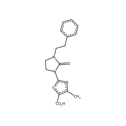 Cc1nc(N2CCN(CCc3ccccc3)C2=O)sc1C(=O)O